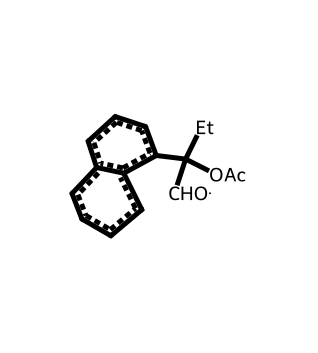 CCC([C]=O)(OC(C)=O)c1cccc2ccccc12